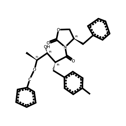 Cc1ccc(C[C@@H](C(=O)N2C(=O)OC[C@H]2Cc2ccccc2)[C@@H](O)[C@H](C)OCc2ccccc2)cc1